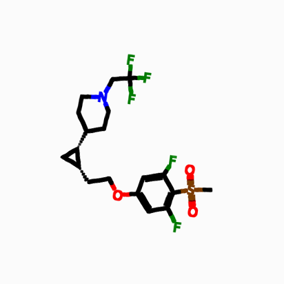 CS(=O)(=O)c1c(F)cc(OCC[C@@H]2C[C@@H]2C2CCN(CC(F)(F)F)CC2)cc1F